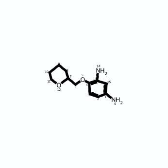 Nc1ccc(OCC2CCCCO2)c(N)c1